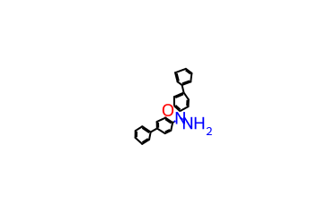 NN1c2ccc(-c3ccccc3)cc2Oc2cc(-c3ccccc3)ccc21